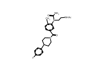 CC(=O)NCCN(C(N)=O)c1cc(C(=O)N2CCC(c3ccc(F)cc3)CC2)ccc1C